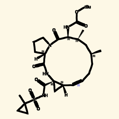 C[C@H]1CC/C=C\[C@@H]2C[C@@]2(C(=O)NS(=O)(=O)C2(C)CC2)NC(=O)[C@@H]2C[CH]CN2C(=O)[C@@H](NC(=O)OC(C)(C)C)[C@H](C)C1